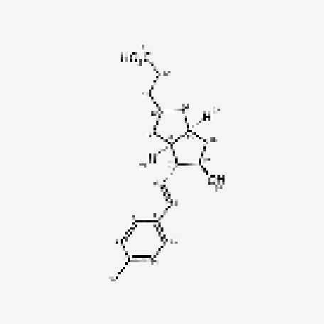 Cc1ccc(/C=C/[C@@H]2[C@H]3CC(CCC(=O)O)C[C@H]3C[C@H]2O)cc1